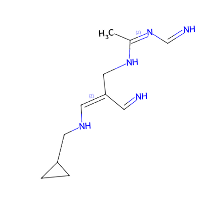 C/C(=N/C=N)NC/C(C=N)=C/NCC1CC1